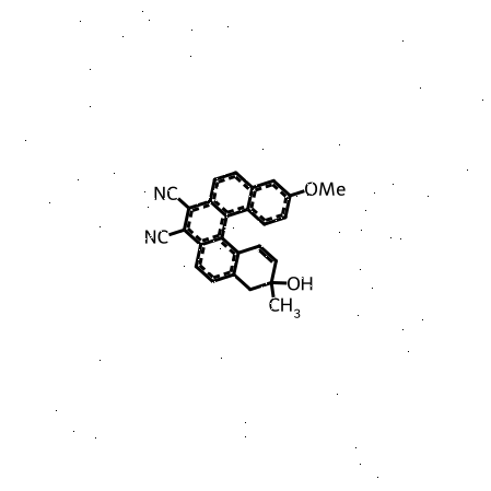 COc1ccc2c(ccc3c(C#N)c(C#N)c4ccc5c(c4c32)C=CC(C)(O)C5)c1